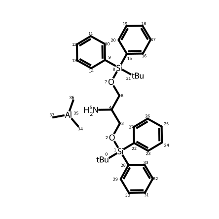 CC(C)(C)[Si](OCC(N)CO[Si](c1ccccc1)(c1ccccc1)C(C)(C)C)(c1ccccc1)c1ccccc1.[CH3][Al]([CH3])[CH3]